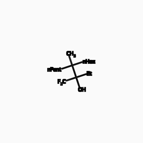 CCCCCCC(C)(CCCCC)C(O)(CC)C(F)(F)F